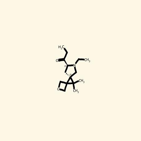 CCC(=O)[C@@H]1C[C@]2(CN1CC)C(C)(C)C21COC1